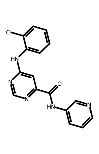 O=C(Nc1cccnc1)c1cc(Nc2ccccc2Cl)ncn1